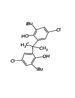 CCC(C)c1cc(Cl)cc(C(C)(C)c2cc(Cl)cc(C(C)CC)c2O)c1O